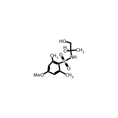 COc1cc(C)c(S(=O)(=O)NC(C)(C)CO)c(C)c1